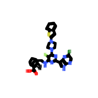 O=C(O)[C@H]1C2CCC(CC2)[C@@H]1CNc1nc(-c2c[nH]c3ncc(Cl)nc23)nc(N2CCN(c3cc4ccccc4s3)CC2)c1F